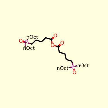 CCCCCCCCP(=O)(CCCCCCCC)CCCCC(=O)OC(=O)CCCCP(=O)(CCCCCCCC)CCCCCCCC